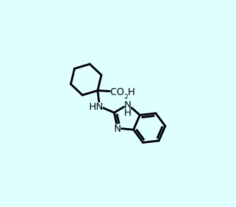 O=C(O)C1(Nc2nc3ccccc3[nH]2)CCCCC1